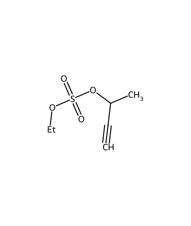 C#CC(C)OS(=O)(=O)OCC